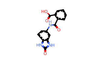 O=C(O)c1ccccc1C(=O)Nc1ccc2[nH]c(=O)[nH]c2c1